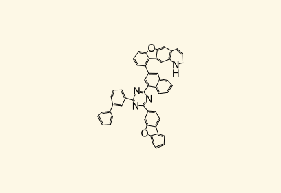 C1=Cc2cc3oc4cccc(-c5cc(-c6nc(-c7cccc(-c8ccccc8)c7)nc(-c7ccc8c(c7)oc7ccccc78)n6)c6ccccc6c5)c4c3cc2NC1